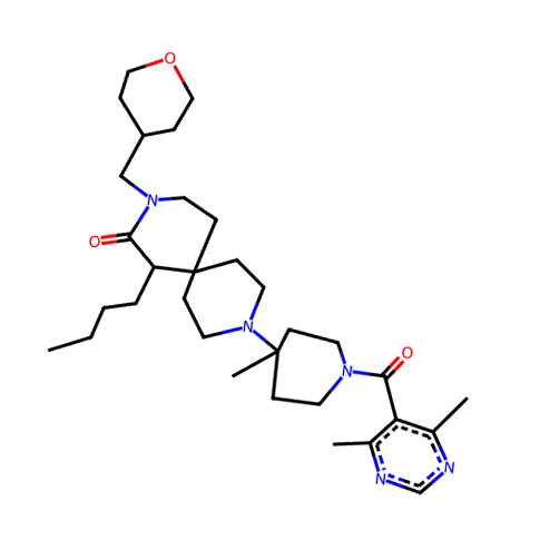 CCCCC1C(=O)N(CC2CCOCC2)CCC12CCN(C1(C)CCN(C(=O)c3c(C)ncnc3C)CC1)CC2